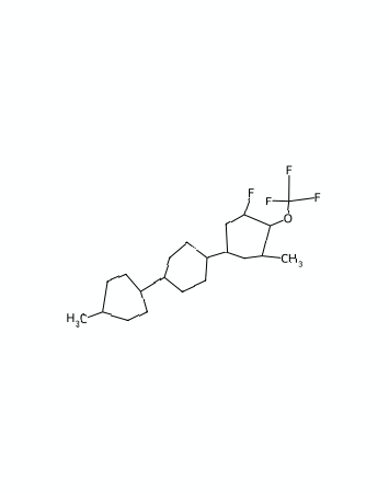 CC1CCC(C2CCC(C3CC(C)C(OC(F)(F)F)C(F)C3)CC2)CC1